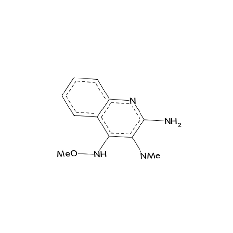 CNc1c(N)nc2ccccc2c1NOC